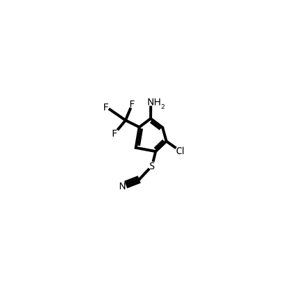 N#CSc1cc(C(F)(F)F)c(N)cc1Cl